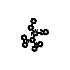 c1ccc(-c2cccc(-c3nc(-c4cc(-n5c6ccccc6c6ccccc65)cc(-n5c6ccccc6c6ccccc65)c4)cc(-c4cc5ccccc5s4)n3)c2)cc1